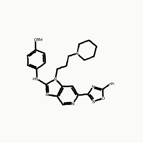 CCCc1nc(-c2cc3c(cn2)nc(Nc2ccc(OC)cc2)n3CCCN2CCCCC2)no1